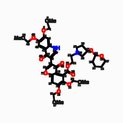 COCOc1cc2[nH]cc(-c3coc4cc(OCOC)c(OCOC)c(C(=O)OCCN5CCC(OC6CCCCO6)C5)c4c3=O)c(=O)c2cc1OCOC